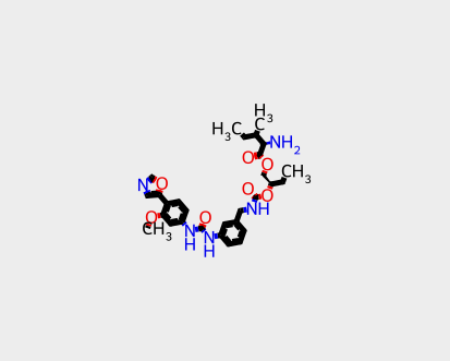 CCC(C)[C@@H](N)C(=O)OC[C@@H](CC)OC(=O)NCc1cccc(NC(=O)Nc2ccc(-c3cnco3)c(OC)c2)c1